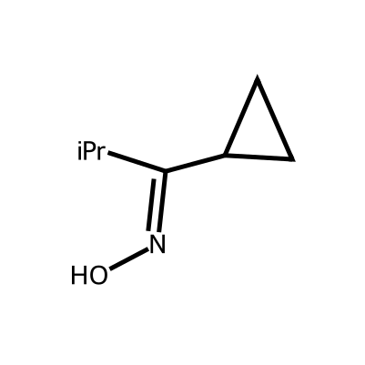 CC(C)C(=NO)C1CC1